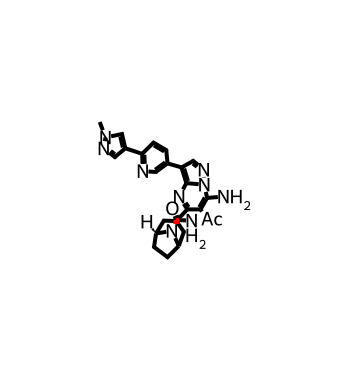 CC(=O)c1c(C2CC3CC[C@@H](C2)N3C(N)=O)nc2c(-c3ccc(-c4cnn(C)c4)nc3)cnn2c1N